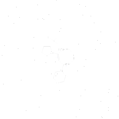 C[C@@H]1COCCN1C1=C/COCN/C(N2CCC[C@@H]2C(F)(F)F)=C\1